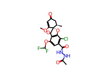 COC1=CC(=O)C[C@@H](C)[C@]12Oc1c(Cl)c(C(=O)NNC(C)=O)cc(OC(F)F)c1C2=O